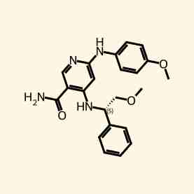 COC[C@@H](Nc1cc(Nc2ccc(OC)cc2)ncc1C(N)=O)c1ccccc1